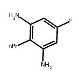 CCCc1c(N)cc(F)cc1N